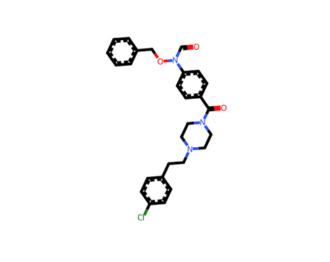 O=CN(OCc1ccccc1)c1ccc(C(=O)N2CCN(CCc3ccc(Cl)cc3)CC2)cc1